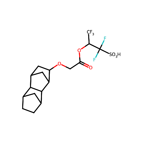 O=C(COC1CC2CC1C1C3CCC(C3)C21)OC(C(F)(F)F)C(F)(F)S(=O)(=O)O